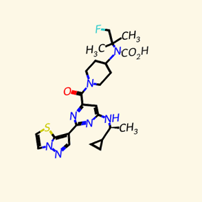 C[C@H](Nc1cc(C(=O)N2CCC(N(C(=O)O)C(C)(C)CF)CC2)nc(-c2cnn3ccsc23)n1)C1CC1